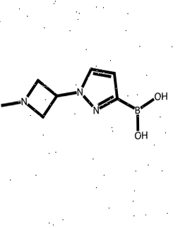 CN1CC(n2ccc(B(O)O)n2)C1